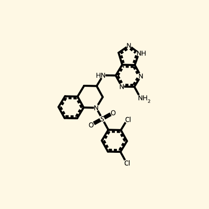 Nc1nc(NC2Cc3ccccc3N(S(=O)(=O)c3ccc(Cl)cc3Cl)C2)c2cn[nH]c2n1